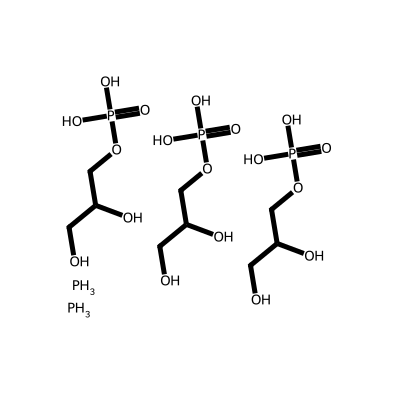 O=P(O)(O)OCC(O)CO.O=P(O)(O)OCC(O)CO.O=P(O)(O)OCC(O)CO.P.P